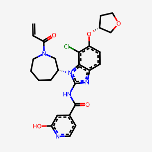 C=CC(=O)N1CCCC[C@@H](n2c(NC(=O)c3ccnc(O)c3)nc3ccc(O[C@@H]4CCOC4)c(Cl)c32)C1